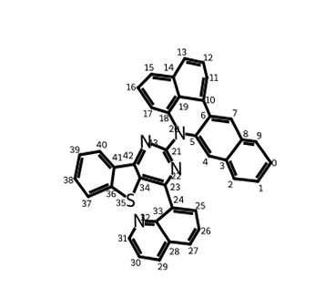 c1ccc2cc3c(cc2c1)-c1cccc2cccc(c12)N3c1nc(-c2cccc3cccnc23)c2sc3ccccc3c2n1